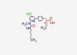 CCCCCNC(=O)N(C)c1cccc(-c2ccc(CC(OCC)C(=O)O)cc2)n1.Cl